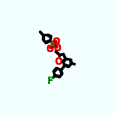 Cc1ccc(S(=O)(=O)OCC2Cc3cc(C)cc(-c4ccc(F)cc4)c3O2)cc1